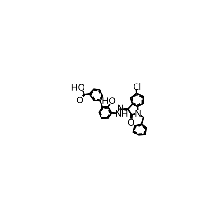 O=C(O)c1cccc(-c2cccc(NN=C3C(=O)N(Cc4ccccc4)c4ccc(Cl)cc43)c2O)c1